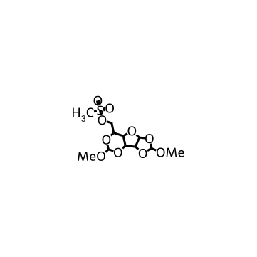 COC1OC2OC3C(COS(C)(=O)=O)OC(OC)OC3C2O1